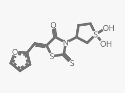 O=C1C(=Cc2ccco2)SC(=S)N1C1CCS(O)(O)C1